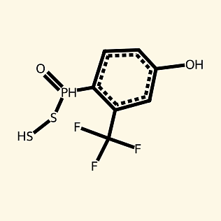 O=[PH](SS)c1ccc(O)cc1C(F)(F)F